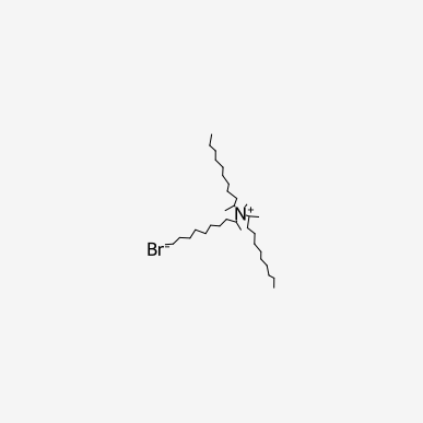 CCCCCCCCCC(C)[N+](C)(C(C)CCCCCCCCC)C(C)CCCCCCCCC.[Br-]